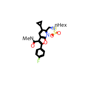 CCCCCCN(Cc1nc2oc(-c3ccc(F)cc3)c(C(=O)NC)c2cc1C1CC1)[SH](=O)=O